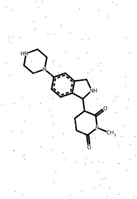 CN1C(=O)CCC(C2NCc3cc(N4CCNCC4)ccc32)C1=O